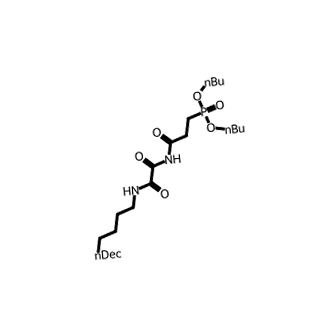 CCCCCCCCCCCCCCNC(=O)C(=O)NC(=O)CCP(=O)(OCCCC)OCCCC